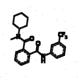 CN(C(=O)c1ccccc1C(=O)Nc1cccc(C(F)(F)F)c1)C1CCCCC1